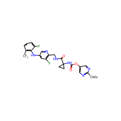 COc1ncc(OC(=O)NC2(C(=O)NCc3ncc(Nc4c(F)cccc4C(F)(F)F)cc3F)CC2)cn1